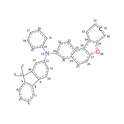 CC1(C)c2ccccc2-c2ccc(N(c3ccccc3)c3ccc4c(ccc5oc6ccccc6c54)c3)cc21